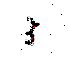 C=C(/C=C\C(=C/C)c1ccc(N(c2ccc(C)cc2)c2ccc(Oc3ccc(C(=O)c4ccc(C(C)(C)CC)cc4)cc3)cc2)cc1)N(c1ccc(C)cc1)c1ccc(OC(C)(C)CC)cc1